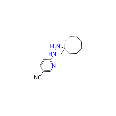 N#Cc1ccc(NCC2(N)CCCCCCC2)nc1